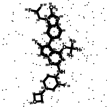 [2H]C([2H])([2H])Oc1nc(N[C@@H]2CCN(C3COC3)C[C@@H]2F)nn2cc(F)c(-c3ccc4nc(C)n(CC(F)F)c4c3)c12